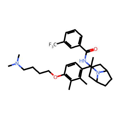 Cc1c(OCCCCN(C)C)ccc(C(C)N2C3CCC2CC(NC(=O)c2cccc(C(F)(F)F)c2)C3)c1C